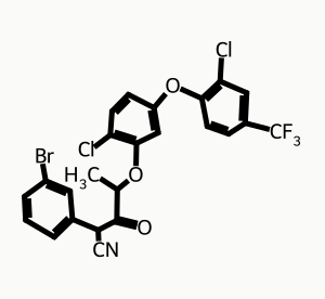 CC(Oc1cc(Oc2ccc(C(F)(F)F)cc2Cl)ccc1Cl)C(=O)C(C#N)c1cccc(Br)c1